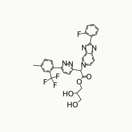 Cc1ccc(-c2ccc(C(C(=O)OCC(O)CO)n3ccc4nc(-c5ccccc5F)nc-4c3)nn2)c(C(F)(F)F)c1